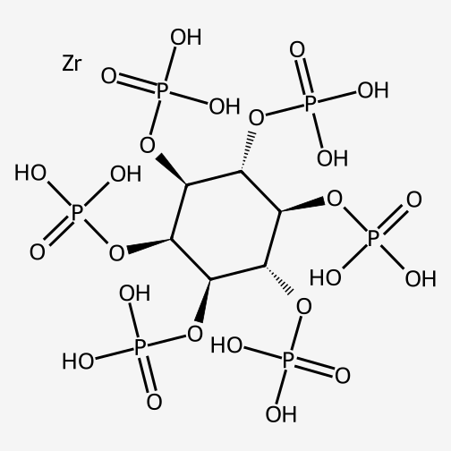 O=P(O)(O)O[C@H]1[C@H](OP(=O)(O)O)[C@@H](OP(=O)(O)O)[C@H](OP(=O)(O)O)[C@@H](OP(=O)(O)O)[C@H]1OP(=O)(O)O.[Zr]